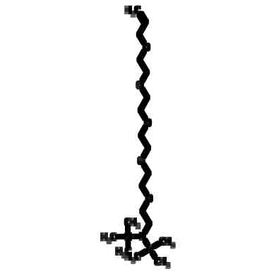 C=CCOCCOCCOCCOCCOCCN([Si](C)(C)C)[Si](C)(C)C